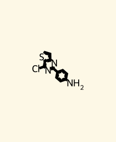 Nc1ccc(-c2nc(Cl)c3sccc3n2)cc1